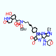 CCc1nc2c(cnn2CC)c(NC2CCOCC2)c1N(C)c1c(Nc2ccc(C#CCCCN(C[C@H](O)c3ccc(O)c4[nH]c(=O)ccc34)C(=O)OC(C)(C)C)cc2)c(=O)c1=O